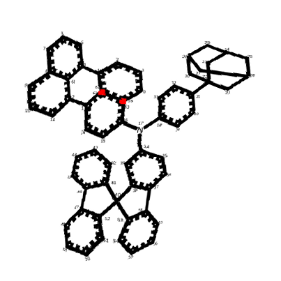 c1ccc(-c2cccc3cccc(-c4ccc(N(c5ccc(C67CC8CC(CC(C8)C6)C7)cc5)c5ccc6c(c5)C5(c7ccccc7-c7ccccc75)c5ccccc5-6)cc4)c23)cc1